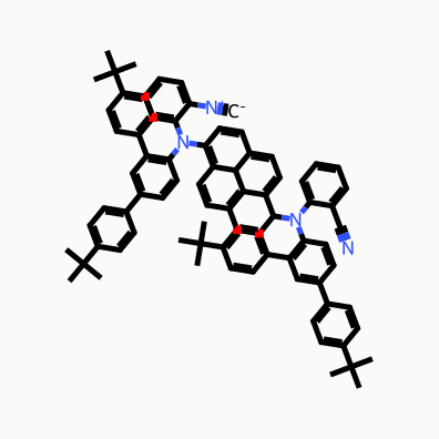 [C-]#[N+]c1ccccc1N(C1=C2C=CC3=C4C(=CC=C(C=C1)C24)C(N(c1ccccc1C#N)c1ccc(-c2ccc(C(C)(C)C)cc2)cc1-c1ccc(C(C)(C)C)cc1)C=C3)c1ccc(-c2ccc(C(C)(C)C)cc2)cc1-c1ccc(C(C)(C)C)cc1